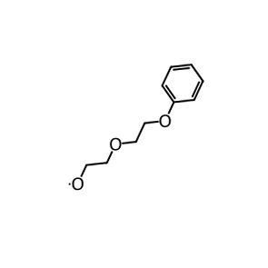 [O]CCOCCOc1ccccc1